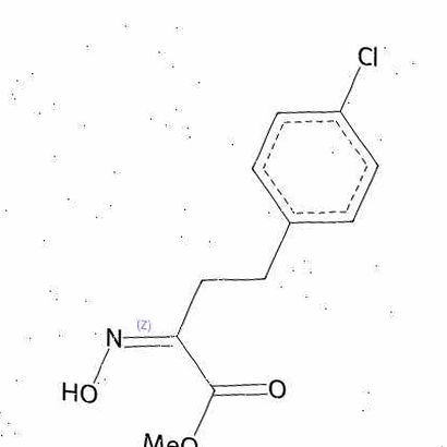 COC(=O)/C(CCc1ccc(Cl)cc1)=N\O